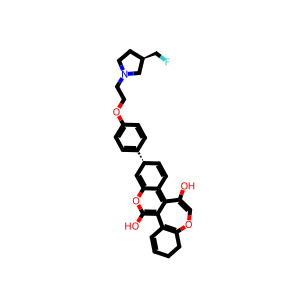 OC1=COC2=C(C=CCC2)C2=C(O)OC3=C[C@H](c4ccc(OCCN5CC[C@@H](CF)C5)cc4)C=CC3=C12